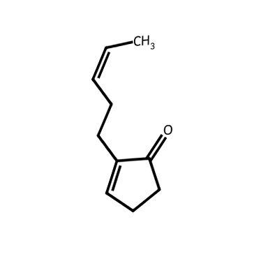 C/C=C\CCC1=CCCC1=O